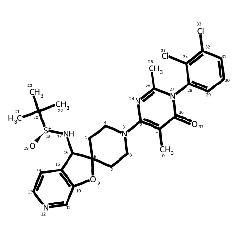 Cc1c(N2CCC3(CC2)Oc2cnccc2C3N[S@@+]([O-])C(C)(C)C)nc(C)n(-c2cccc(Cl)c2Cl)c1=O